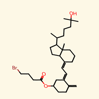 C=C1CCC(OC(=O)CCCBr)CC1=CC=C1CCCC2(C)C1CCC2C(C)CCCC(C)(C)O